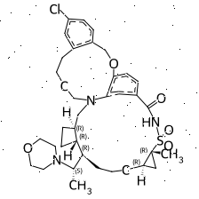 C[C@@H]([C@@H]1CCC[C@@H]2C[C@@]2(C)S(=O)(=O)NC(=O)c2ccc3c(c2)N(CCCCc2cc(Cl)ccc2CO3)C[C@@H]2CC[C@H]21)N1CCOCC1